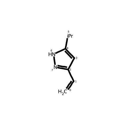 C=Cc1cc(C(C)C)[nH]n1